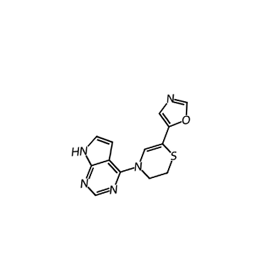 C1=C(c2cnco2)SCCN1c1ncnc2[nH]ccc12